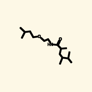 CC(C)CCOCCNC(=O)C(C)CC(C)C(C)C